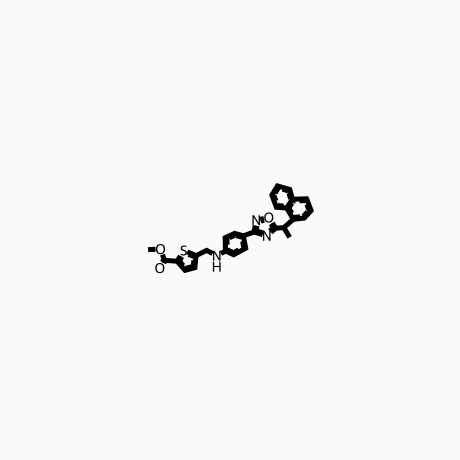 COC(=O)c1ccc(CNc2ccc(-c3noc(C(C)c4cccc5ccccc45)n3)cc2)s1